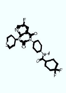 O=C(N[C@H]1CC[C@@H](n2c(=O)c3cc(F)cnc3n(C3CCSCC3)c2=O)CC1)C1CCC(F)(F)CC1